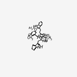 COc1cc(Cn2c(CCc3c[nH]c4ccccc34)nnc2C(Cc2c[nH]c3ccccc23)NC(=O)C(C)(C)N)cc(OC)c1